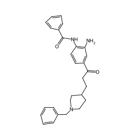 Nc1cc(C(=O)CCC2CCN(Cc3ccccc3)CC2)ccc1NC(=O)c1ccccc1